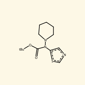 CC(C)(C)OC(=O)N(c1cncs1)N1CCCCC1